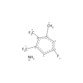 Cc1cc(F)cc(C(F)(F)F)c1C(F)(F)F.N